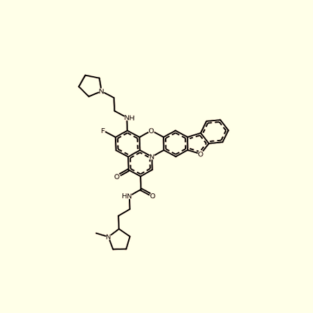 CN1CCCC1CCNC(=O)c1cn2c3c(c(NCCN4CCCC4)c(F)cc3c1=O)Oc1cc3c(cc1-2)oc1ccccc13